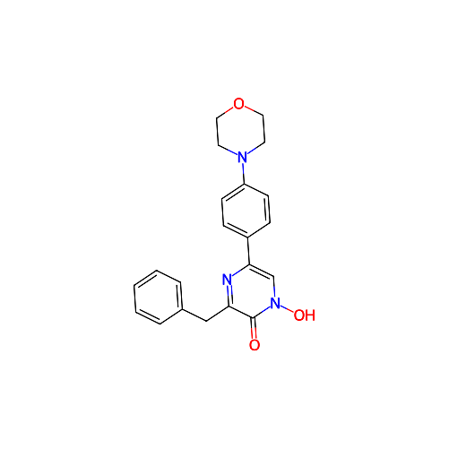 O=c1c(Cc2ccccc2)nc(-c2ccc(N3CCOCC3)cc2)cn1O